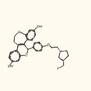 Oc1ccc2c(c1)OC(c1ccc(OCCN3CCC(CF)C3)cc1)C1=C2CCOc2cc(O)ccc21